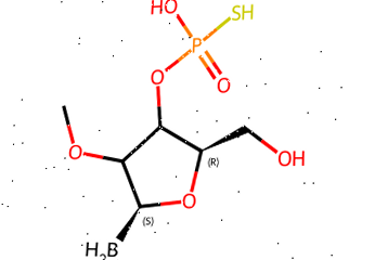 B[C@@H]1O[C@H](CO)C(OP(=O)(O)S)C1OC